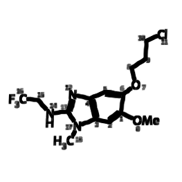 COc1cc2c(cc1OCCCCl)nc(NCC(F)(F)F)n2C